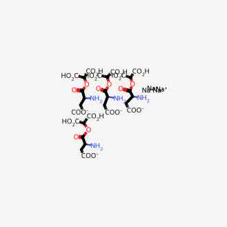 N[C@@H](CC(=O)[O-])C(=O)OC(C(=O)O)C(=O)O.N[C@@H](CC(=O)[O-])C(=O)OC(C(=O)O)C(=O)O.N[C@@H](CC(=O)[O-])C(=O)OC(C(=O)O)C(=O)O.N[C@@H](CC(=O)[O-])C(=O)OC(C(=O)O)C(=O)O.[Na+].[Na+].[Na+].[Na+]